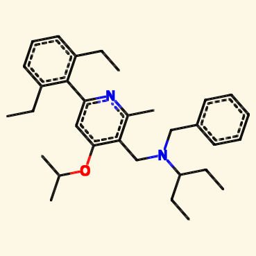 CCc1cccc(CC)c1-c1cc(OC(C)C)c(CN(Cc2ccccc2)C(CC)CC)c(C)n1